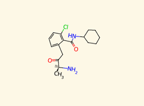 C[C@H](N)C(=O)Cc1cccc(Cl)c1C(=O)NC1CCCCC1